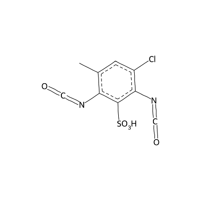 Cc1cc(Cl)c(N=C=O)c(S(=O)(=O)O)c1N=C=O